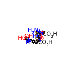 Cn1c[n+](Cc2ccc(/C=C\C3=C(C(=O)O)N4C(=O)[C@@H](NC(=O)/C(=N\OC(C)(C)C(=O)O)c5csc(N)n5)[C@H]4SC3)cc2)c2cc(O)c(O)cc21